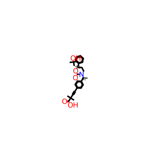 C[C@@H](c1ccc(C#CC(C)(C)C(=O)O)cc1)N1CC[C@](CC(C)(C)O)(c2ccccc2)OC1=O